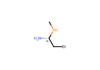 CCC[C@H](N)PC